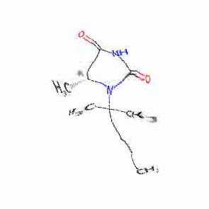 CCCC(C)(C)N1C(=O)NC(=O)[C@H]1C